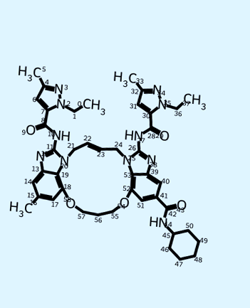 CCn1nc(C)cc1C(=O)Nc1nc2cc(C)cc3c2n1C/C=C/Cn1c(NC(=O)c2cc(C)nn2CC)nc2cc(C(=O)NC4CCCCC4)cc(c21)OCCCO3